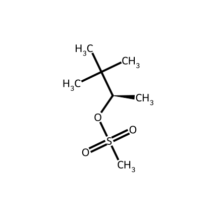 C[C@@H](OS(C)(=O)=O)C(C)(C)C